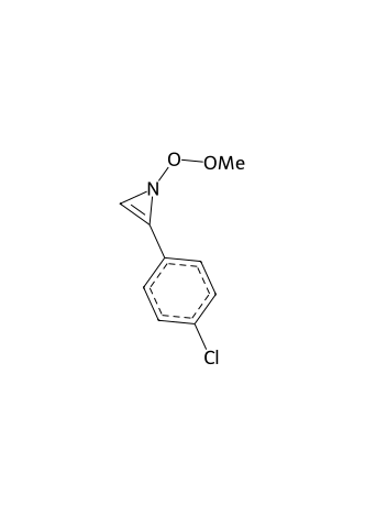 COON1C=C1c1ccc(Cl)cc1